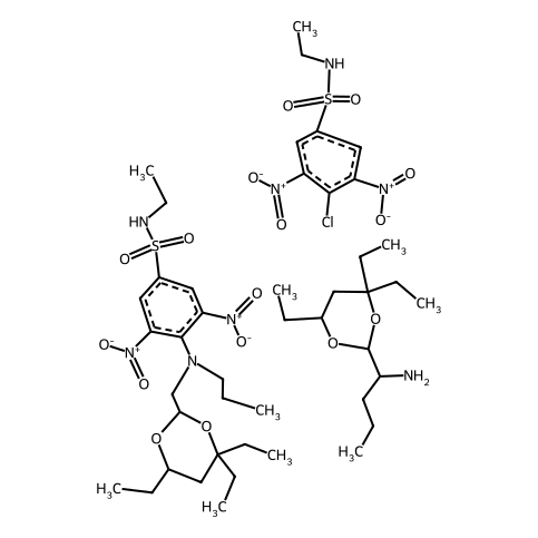 CCCC(N)C1OC(CC)CC(CC)(CC)O1.CCCN(CC1OC(CC)CC(CC)(CC)O1)c1c([N+](=O)[O-])cc(S(=O)(=O)NCC)cc1[N+](=O)[O-].CCNS(=O)(=O)c1cc([N+](=O)[O-])c(Cl)c([N+](=O)[O-])c1